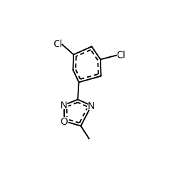 Cc1nc(-c2cc(Cl)cc(Cl)c2)no1